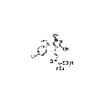 CCCCN(C(=O)C=Cc1c(C)nn(C)c1-n1ccc2cc(C#N)ccc21)S(=O)(=O)O